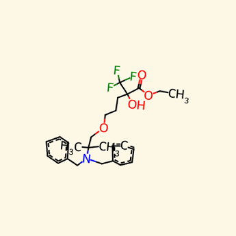 CCOC(=O)C(O)(CCCOCC(C)(C)N(Cc1ccccc1)Cc1ccccc1)C(F)(F)F